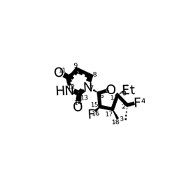 CC[C@@]1([C@@H](C)F)O[C@@H](n2ccc(=O)[nH]c2=O)[C@H](F)[C@@H]1C